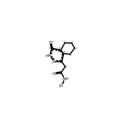 CCNC(=O)Cc1n[nH]c(=O)c2c1CCCC2